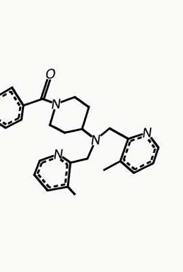 Cc1cccnc1CN(Cc1ncccc1C)C1CCN(C(=O)c2ccccc2)CC1